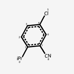 CC(C)c1ccc(Cl)cc1C#N